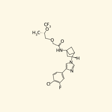 C[C@@H](COCC(=O)NC12CC(C1)[C@H](n1cnc(-c3ccc(Cl)c(F)c3)c1)C2)OC(F)(F)F